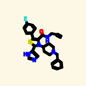 C#CCNC(=O)C1=C(c2ccc(F)cc2)SC(c2cnc[nH]2)N1C1CCN(Cc2ccccc2)CC1